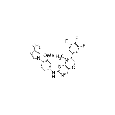 COc1cc(Nc2ncc3c(n2)N(C)C(c2cc(F)c(F)c(F)c2)CO3)ccc1-n1cnc(C)c1